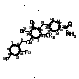 Cc1cc(OCc2ccc(F)cc2F)c(Br)c(=O)n1Cc1ccc(C(N)=O)nc1